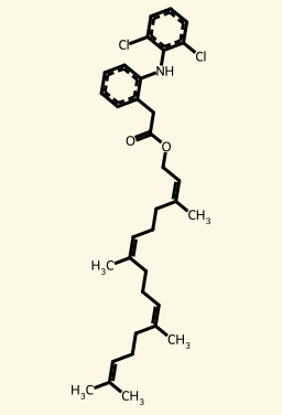 CC(C)=CCCC(C)=CCCC(C)=CCCC(C)=CCOC(=O)Cc1ccccc1Nc1c(Cl)cccc1Cl